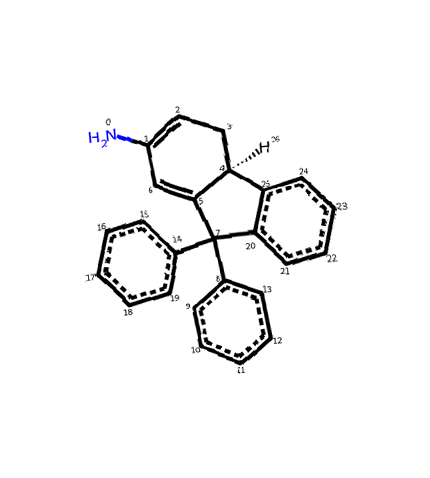 NC1=CC[C@@H]2C(=C1)C(c1ccccc1)(c1ccccc1)c1ccccc12